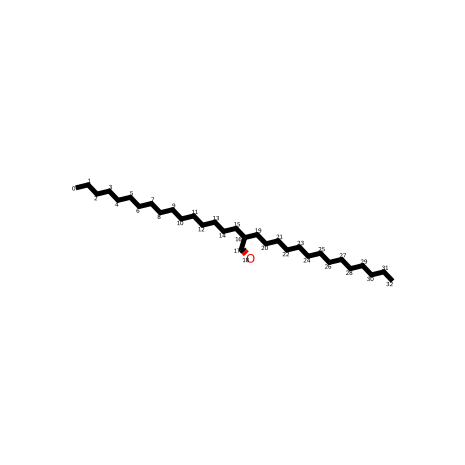 CCCCCCCCCCCCCCCCC([C]=O)CCCCCCCCCCCCCC